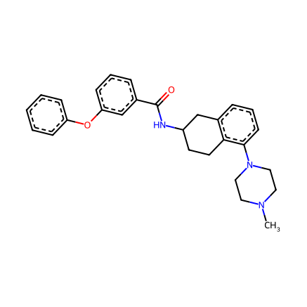 CN1CCN(c2cccc3c2CCC(NC(=O)c2cccc(Oc4ccccc4)c2)C3)CC1